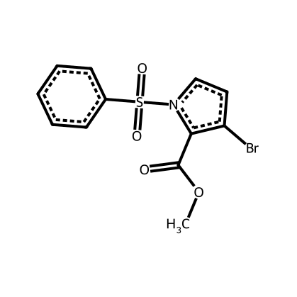 COC(=O)c1c(Br)ccn1S(=O)(=O)c1ccccc1